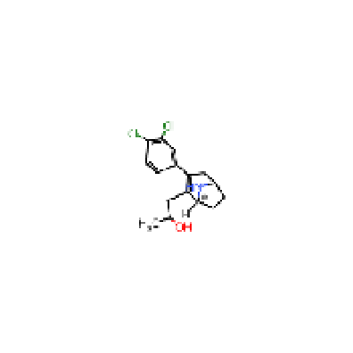 CC(O)CC1=C(c2ccc(Cl)c(Cl)c2)CC2CC[C@H]1N2